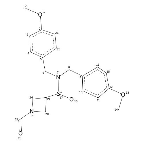 COc1ccc(CN(Cc2ccc(OC)cc2)[S+]([O-])C2CN(C=O)C2)cc1